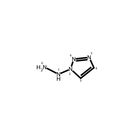 NNn1ccnn1